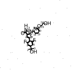 CC(C)(O)c1cc(F)c(-c2cc(C(N)=O)c(Nc3cccc(OCCO)n3)s2)c(F)c1